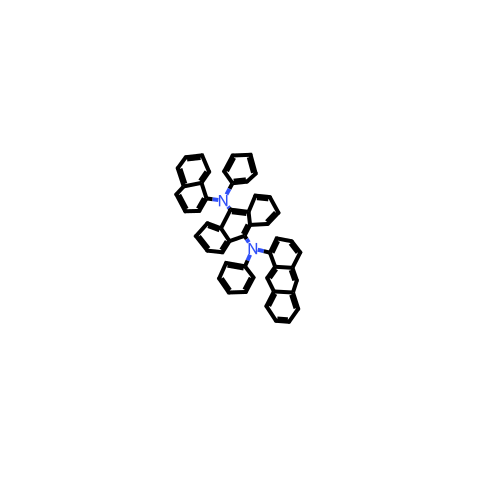 c1ccc(N(c2cccc3ccccc23)c2c3ccccc3c(N(c3ccccc3)c3cccc4cc5ccccc5cc34)c3ccccc23)cc1